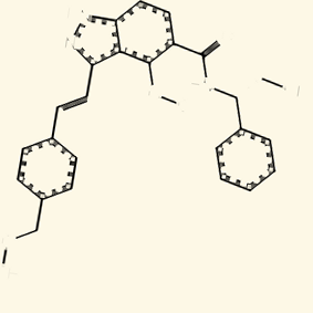 COCc1ccc(/C=C/c2n[nH]c3ccc(C(=O)N[C@H](CO)c4ccccc4)c(OC)c23)cc1